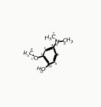 COc1cc(N(C)C)ccc1O